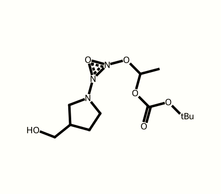 CC(OC(=O)OC(C)(C)C)On1on1N1CCC(CO)C1